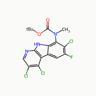 CN(C(=O)OC(C)(C)C)c1c(Cl)c(F)cc2c1[nH]c1ncc(Cl)c(Cl)c12